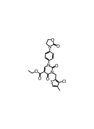 CCOC(=O)c1cn(-c2ccc(N3CCOC3=O)cc2)c(=O)n(Cc2scc(C)c2Cl)c1=O